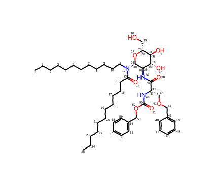 CCCCCCCCCCCCN(C(=O)CCCCCCCCCCC)[C@@H]1O[C@H](CO)[C@@H](O)[C@H](O)[C@H]1NC(=O)[C@H](COCc1ccccc1)NC(=O)OCc1ccccc1